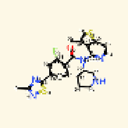 Cc1nsc(-c2ccc(C(=O)N(c3nccc4scc(C)c34)[C@@H]3CCCNC3)c(F)c2)n1